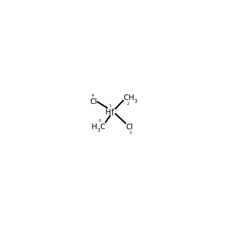 [CH3][Hf]([CH3])([Cl])[Cl]